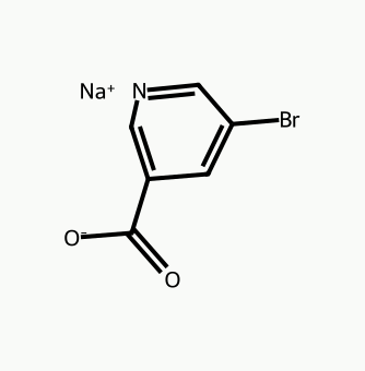 O=C([O-])c1cncc(Br)c1.[Na+]